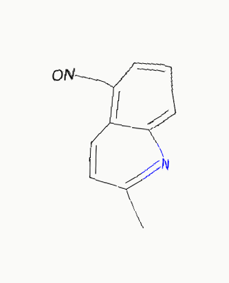 Cc1ccc2c(N=O)cccc2n1